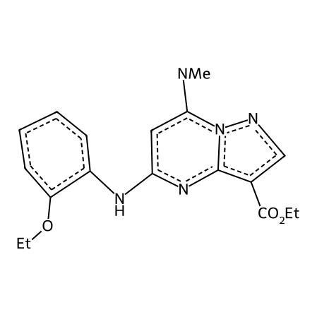 CCOC(=O)c1cnn2c(NC)cc(Nc3ccccc3OCC)nc12